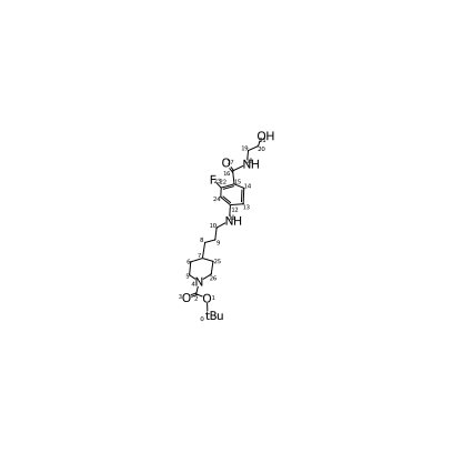 CC(C)(C)OC(=O)N1CCC(CCCNc2ccc(C(=O)NCCO)c(F)c2)CC1